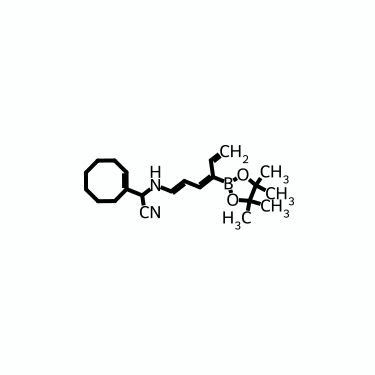 C=C/C(=C\C=C\NC(C#N)/C1=C/CCCCCC1)B1OC(C)(C)C(C)(C)O1